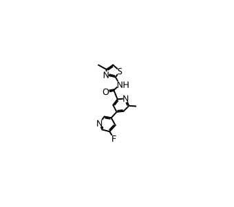 Cc1cc(-c2cncc(F)c2)cc(C(=O)Nc2nc(C)cs2)n1